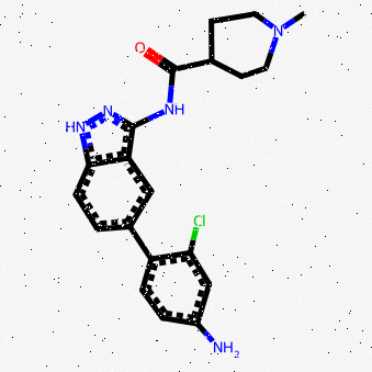 CN1CCC(C(=O)Nc2n[nH]c3ccc(-c4ccc(N)cc4Cl)cc23)CC1